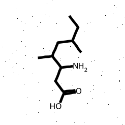 CCC(C)CC(C)C(N)CC(=O)O